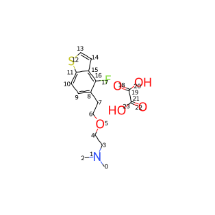 CN(C)CCOCCc1ccc2sccc2c1F.O=C(O)C(=O)O